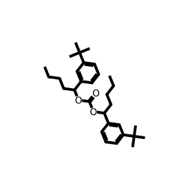 CCCCC(OC(=O)OC(CCCC)c1cccc(C(C)(C)C)c1)c1cccc(C(C)(C)C)c1